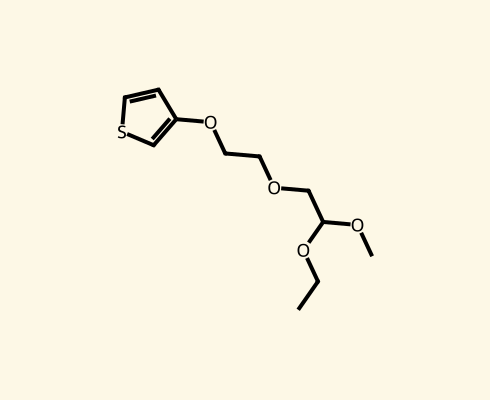 CCOC(COCCOc1ccsc1)OC